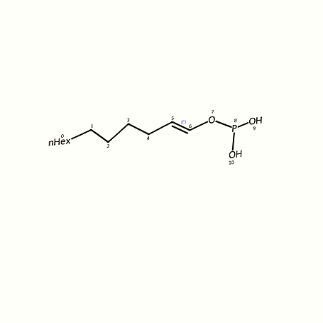 CCCCCCCCCC/C=C/OP(O)O